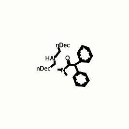 CCCCCCCCCC[CH2][AlH][CH2]CCCCCCCCCC.CN(C)C(=O)C(c1ccccc1)c1ccccc1